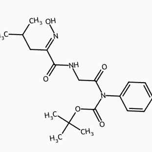 CC(C)CC(=NO)C(=O)NCC(=O)N(C(=O)OC(C)(C)C)c1ccccc1